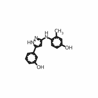 Cc1cc(O)ccc1Nc1cc(-c2cccc(O)c2)[nH]n1